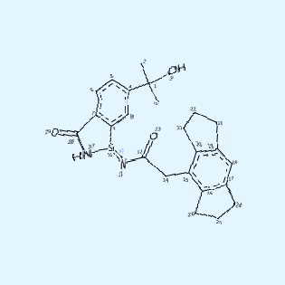 CC(C)(O)c1ccc2c(c1)/[Si](=N\C(=O)Cc1c3c(cc4c1CCC4)CCC3)NC2=O